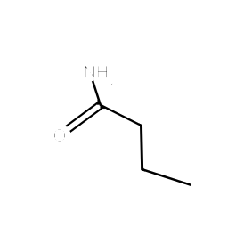 [CH2]CCC(N)=O